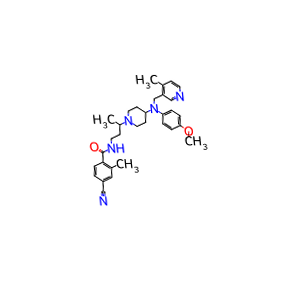 COc1ccc(N(Cc2cnccc2C)C2CCN(C(C)CCNC(=O)c3ccc(C#N)cc3C)CC2)cc1